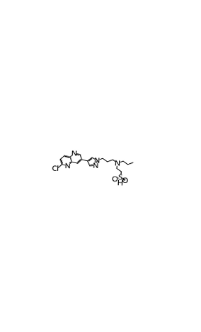 CCCN(CCCn1cc(-c2cnc3ccc(Cl)nc3c2)cn1)CC[SH](=O)=O